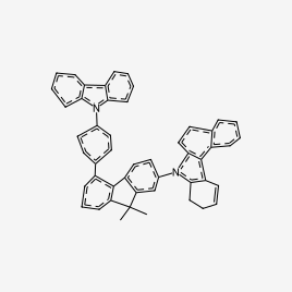 CC1(C)c2cc(-n3c4c(c5c6ccccc6ccc53)C=CCC4)ccc2-c2c(-c3ccc(-n4c5ccccc5c5ccccc54)cc3)cccc21